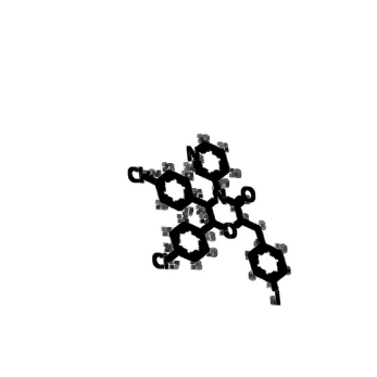 O=C1C(Cc2ccc(I)cc2)OC(c2ccc(Cl)cc2)C(c2ccc(Cl)cc2)N1c1cccnc1